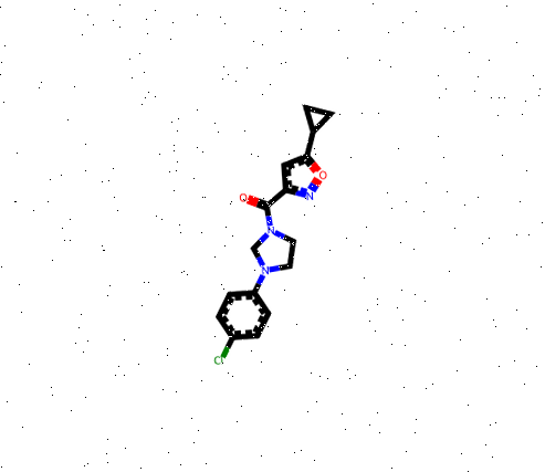 O=C(c1cc(C2CC2)on1)N1CCN(c2ccc(Cl)cc2)C1